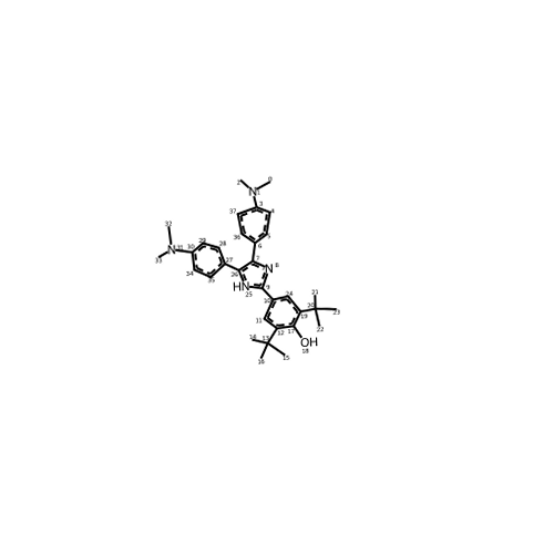 CN(C)c1ccc(-c2nc(-c3cc(C(C)(C)C)c(O)c(C(C)(C)C)c3)[nH]c2-c2ccc(N(C)C)cc2)cc1